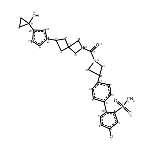 CS(=O)(=O)c1cc(Cl)ccc1-c1ccc(C2CN(C(=O)N3CC4(CC(n5cnc(C6(O)CC6)n5)C4)C3)C2)cc1